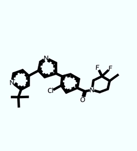 CC1CCN(C(=O)c2ccc(-c3cncc(-c4ccnc(C(C)(C)C)c4)c3)c(Cl)c2)CC1(F)F